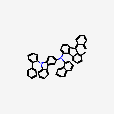 C=c1cccc/c1=C1\c2cccc(N(c3ccc4c(c3)c3ccccc3n4-c3ccccc3-c3ccccc3)c3cccc4ccccc34)c2-c2cccc(C)c21